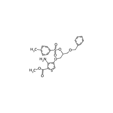 COC(=O)c1scc(OCC(COCc2ccccc2)OS(=O)(=O)c2ccc(C)cc2)c1N